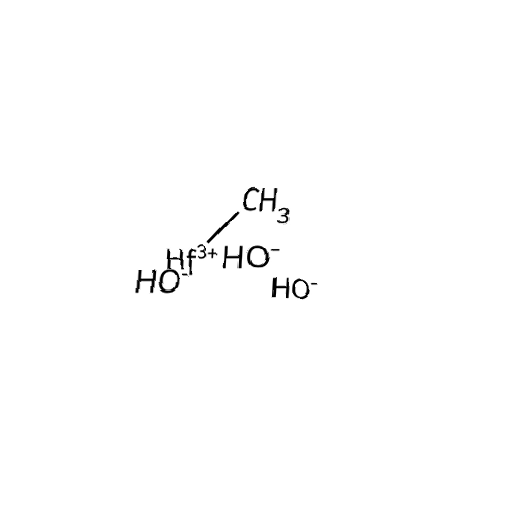 [CH3][Hf+3].[OH-].[OH-].[OH-]